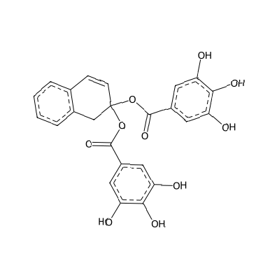 O=C(OC1(OC(=O)c2cc(O)c(O)c(O)c2)C=Cc2ccccc2C1)c1cc(O)c(O)c(O)c1